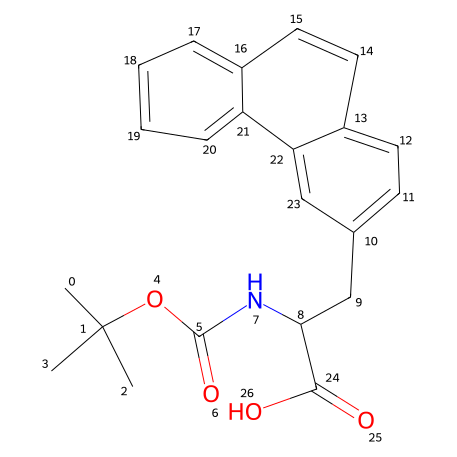 CC(C)(C)OC(=O)NC(Cc1ccc2ccc3ccccc3c2c1)C(=O)O